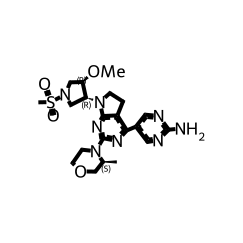 CO[C@@H]1CN(S(C)(=O)=O)C[C@H]1N1CCc2c(-c3cnc(N)nc3)nc(N3CCOC[C@@H]3C)nc21